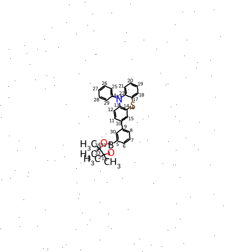 CC1(C)OB(c2cccc(-c3ccc4c(c3)Sc3ccccc3N4c3ccccc3)c2)OC1(C)C